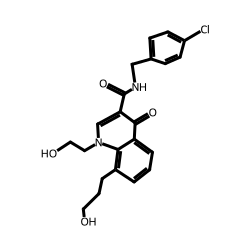 O=C(NCc1ccc(Cl)cc1)c1cn(CCO)c2c(CCCO)cccc2c1=O